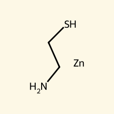 NCCS.[Zn]